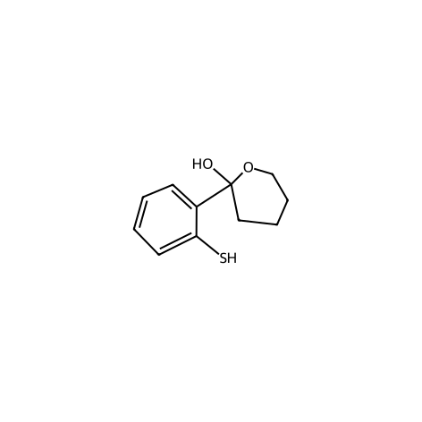 OC1(c2ccccc2S)CCCCO1